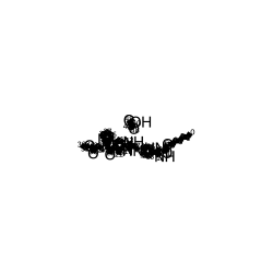 CCCCCCOC(=O)NC(=N)c1ccc(NCc2nc3c(C)c(C(=O)N(CCC(=O)OCC)c4ccccn4)ccc3[nH]2)cc1.CS(=O)(=O)O